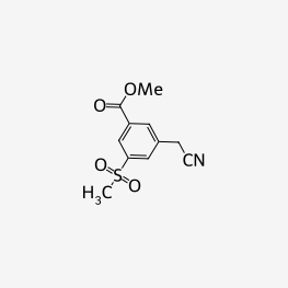 COC(=O)c1cc(CC#N)cc(S(C)(=O)=O)c1